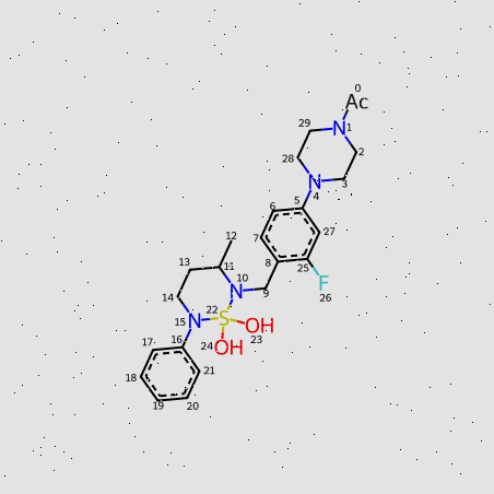 CC(=O)N1CCN(c2ccc(CN3C(C)CCN(c4ccccc4)S3(O)O)c(F)c2)CC1